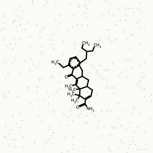 CCc1ccc(CC(CC)CC)c2c1C(=O)C1=C(C)C3(C)C(CC=C(C(N)=O)C3(C)C)CC1C2